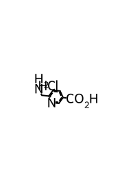 Cl.NCc1ccc(C(=O)O)cn1